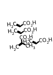 C=C(C)C(=O)O.C=CC(=O)O.C=CC(=O)O.C=CC(=O)O